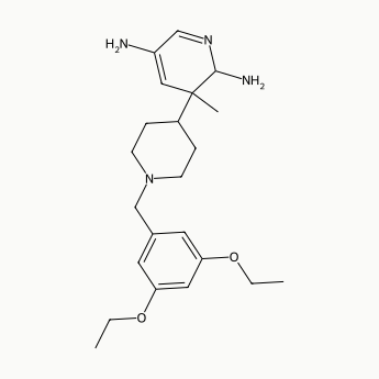 CCOc1cc(CN2CCC(C3(C)C=C(N)C=NC3N)CC2)cc(OCC)c1